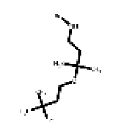 BC(C)(CCNC(C)(C)C)OCCC(C)(C)C(C)C